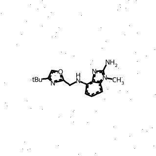 Cn1c(N)nc2c(NCc3nc(C(C)(C)C)co3)cccc21